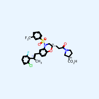 C/C(=C\c1ccc2c(c1)N(S(=O)(=O)c1cccc(C(F)(F)F)c1)C[C@H](CCC(=O)N1CC[C@@H](C(=O)O)C1)O2)c1c(F)cccc1Cl